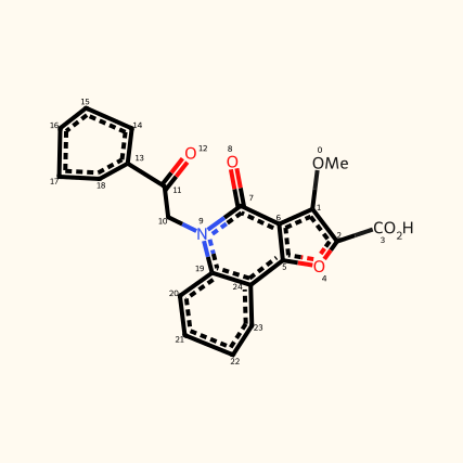 COc1c(C(=O)O)oc2c1c(=O)n(CC(=O)c1ccccc1)c1ccccc21